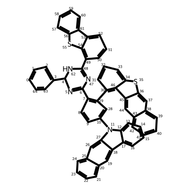 c1ccc(C2N=C(c3ccc(-n4c5ccccc5c5cc6ccccc6cc54)cc3-c3cccc4sc5cc6ccccc6cc5c34)N=C(c3cccc4c3sc3ccccc34)N2)cc1